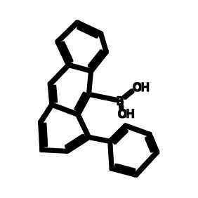 OB(O)c1c2ccccc2cc2cccc(-c3ccccc3)c12